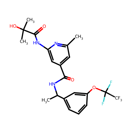 Cc1cc(C(=O)NC(C)c2cccc(OC(F)(F)C(F)(F)F)c2)cc(NC(=O)C(C)(C)O)n1